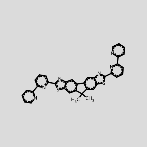 CC1(C)c2cc3sc(-c4cccc(-c5ccccn5)n4)nc3cc2-c2cc3nc(-c4cccc(-c5ccccn5)n4)sc3cc21